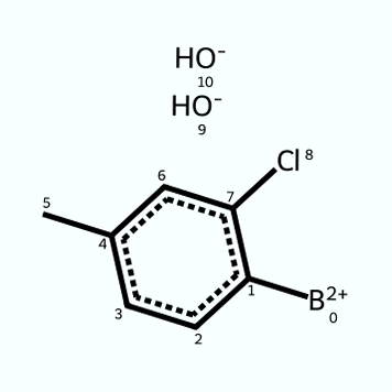 [B+2]c1ccc(C)cc1Cl.[OH-].[OH-]